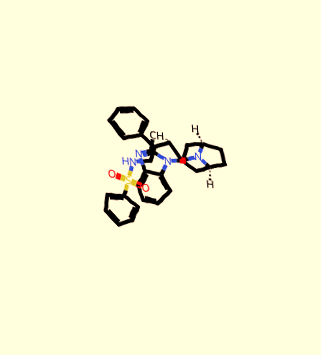 Cc1nc2ccccc2n1C1C[C@H]2CC[C@@H](C1)N2CCC(CNS(=O)(=O)c1ccccc1)c1ccccc1